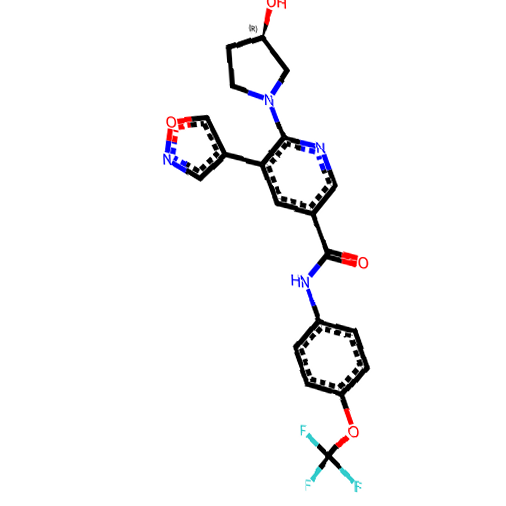 O=C(Nc1ccc(OC(F)(F)F)cc1)c1cnc(N2CC[C@@H](O)C2)c(-c2cnoc2)c1